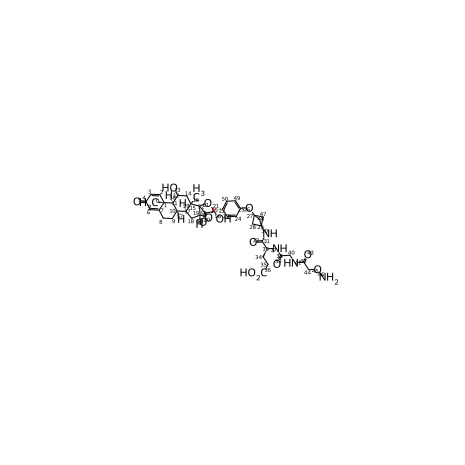 C[C@]12C=CC(=O)C=C1CC[C@@H]1[C@@H]2[C@@H](O)C[C@@]2(C)[C@H]1C[C@H]1O[C@@H](c3ccc(OC45CC(NC(=O)[C@H](CCC(=O)O)NC(=O)CNC(=O)CON)(C4)C5)cc3)O[C@]12C(=O)CO